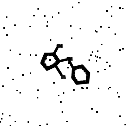 CCc1cccc(O)c1Nc1ccccc1